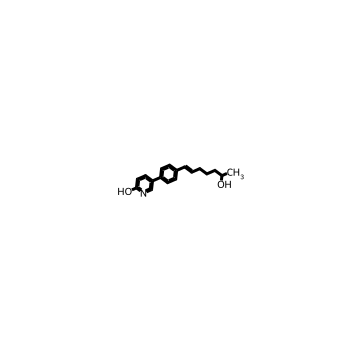 CC(O)CCC/C=C/c1ccc(-c2ccc(O)nc2)cc1